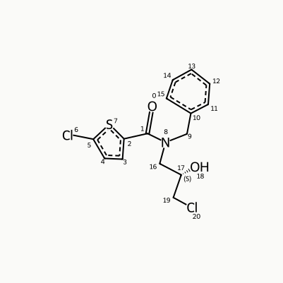 O=C(c1ccc(Cl)s1)N(Cc1ccccc1)C[C@H](O)CCl